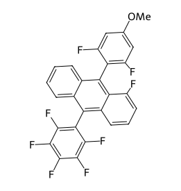 COc1cc(F)c(-c2c3ccccc3c(-c3c(F)c(F)c(F)c(F)c3F)c3cccc(F)c23)c(F)c1